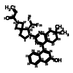 C=CC(=O)N1CC2(CCN(c3nc4c(c(-c5cc(O)cc6ccccc56)n3)CCC(C)(C)C4)[C@@H]2C(F)F)C1